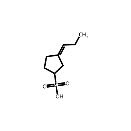 CCC=C1CCC(S(=O)(=O)O)C1